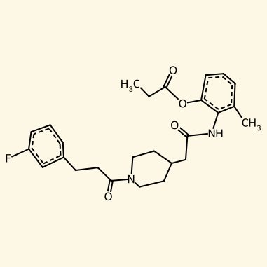 CCC(=O)Oc1cccc(C)c1NC(=O)CC1CCN(C(=O)CCc2cccc(F)c2)CC1